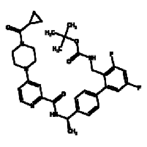 C[C@@H](NC(=O)c1cc(N2CCN(C(=O)C3CC3)CC2)ccn1)c1ccc(-c2cc(F)cc(F)c2CNC(=O)OC(C)(C)C)cc1